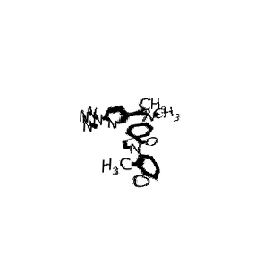 CC1=C(N2CC[C@]3(CC[C@@H](N(C)[C@H](C)c4ccc(-n5cnnn5)nc4)CC3)C2=O)CCCC1=O